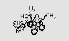 C=CCOC(=O)C(N1C(=O)[C@H]([C@@H](C)O)[C@H]1[C@@H](C)C(=O)c1cn2cnc(SC)c2s1)=P(c1ccccc1)(c1ccccc1)c1ccccc1